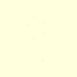 CC1(C)COc2nc3c(NCCc4c[nH]c5ccccc45)nc(I)nc3n21